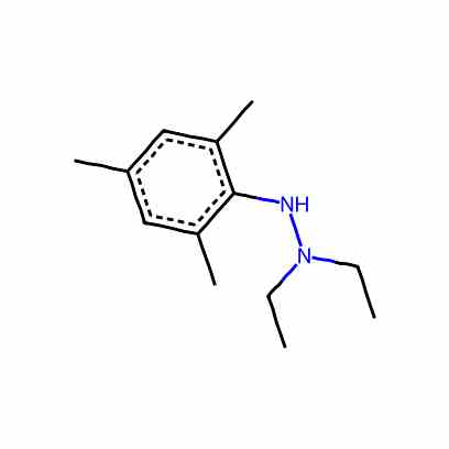 CCN(CC)Nc1c(C)cc(C)cc1C